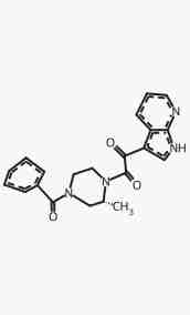 C[C@@H]1CN(C(=O)c2ccccc2)CCN1C(=O)C(=O)c1c[nH]c2ncccc12